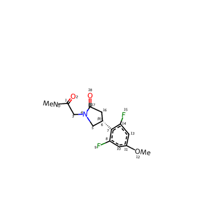 CNC(=O)CN1C[C@@H](c2c(F)cc(OC)cc2F)CC1=O